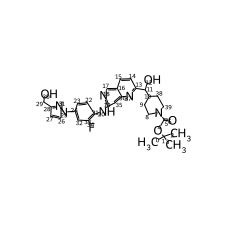 CC(C)(C)OC(=O)N1CCC(C(O)c2ccc3cnc(Nc4ccc(-n5ccc(CO)n5)cc4F)cc3n2)CC1